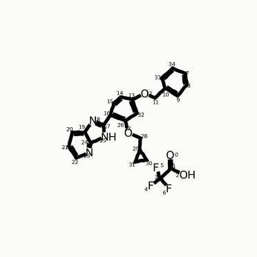 O=C(O)C(F)(F)F.c1ccc(COc2ccc(-c3nc4cccnc4[nH]3)c(OCC3CC3)c2)cc1